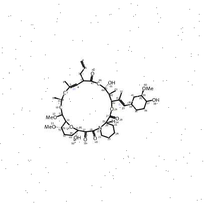 C=CCC1/C=C(\C)C[C@H](C)CC(OC)C2O[C@@](O)(C(=O)C(=O)N3CCCC[C@H]3C(=O)OC(/C(C)=C/[C@@H]3CCC(O)[C@H](OC)C3)C(C)[C@@H](O)CC1=O)[C@H](C)C[C@@H]2OC